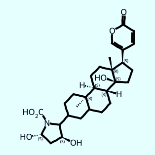 C[C@@]12CCC(C3[C@@H](O)C[C@H](O)N3C(=O)O)CC1CC[C@@H]1[C@@H]2CC[C@]2(C)[C@@H](c3ccc(=O)oc3)CC[C@]12O